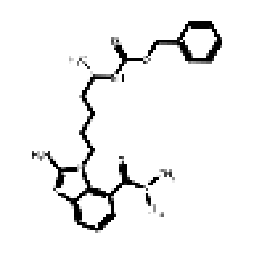 C[C@@H](CCCCn1c(N)nc2cccc(C(=O)N(C)C)c21)NC(=O)OCc1ccccc1